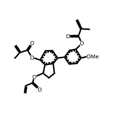 C=CC(=O)OC1CCc2c(-c3ccc(OC)c(OC(=O)C(=C)C)c3)ccc(OC(=O)C(=C)C)c21